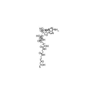 C=CC(O)CC(=O)SCCNC(=O)CCNC(=O)[C@H](O)C(C)(C)COP(=O)(O)OP(=O)(O)OC[C@H]1O[C@@H](n2cnc3c(N)ncnc32)[C@H](O)[C@@H]1OP(=O)(O)O